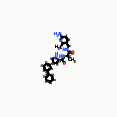 Cc1nc(N)ccc1CNC(=O)[C@@H](C)NC(=O)[C@H]1C[C@H](c2cccc(-c3ccccc3)c2)CN1